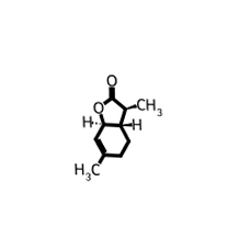 CC1=C[C@H]2OC(=O)[C@@H](C)[C@@H]2CC1